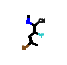 C=N/C(C#N)=C(F)\C=C(/C)Br